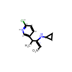 CC(/C(=C\[N+](=O)[O-])NC1CC1)c1ccc(Cl)nc1